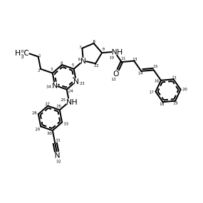 CCCc1cc(N2CCC(NC(=O)CC=Cc3ccccc3)C2)nc(Nc2cccc(C#N)c2)n1